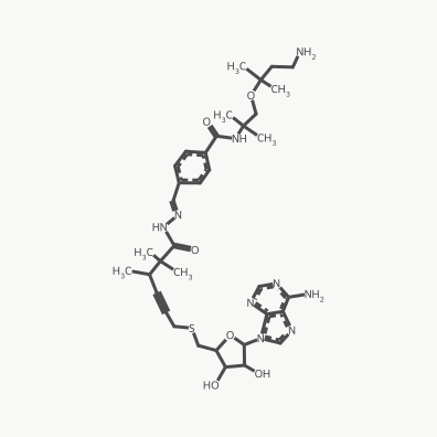 CC(C#CCSCC1OC(n2cnc3c(N)ncnc32)C(O)C1O)C(C)(C)C(=O)N/N=C/c1ccc(C(=O)NC(C)(C)COC(C)(C)CCN)cc1